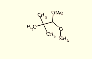 CO[C](O[SiH3])C(C)(C)C